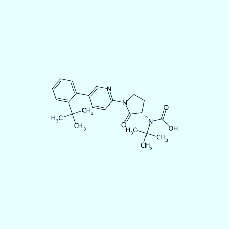 CC(C)(C)c1ccccc1-c1ccc(N2CC[C@H](N(C(=O)O)C(C)(C)C)C2=O)nc1